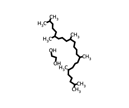 CC(C)CCCC(C)CCCC(C)CCCCC(C)CCCC(C)CCCC(C)C.OCCO